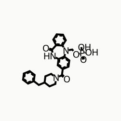 O=C1Nc2cc(C(=O)N3CCC(Cc4ccccc4)CC3)ccc2N(COP(=O)(O)O)c2ccccc21